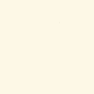 OCCSCCSCCSCC(O)CS